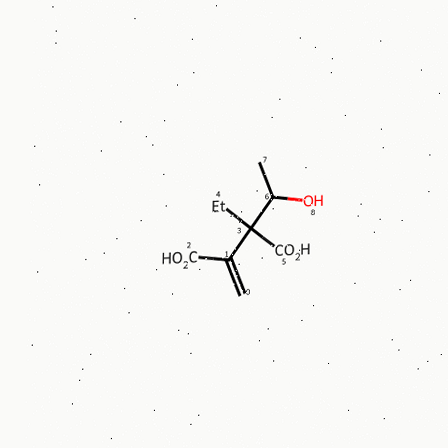 C=C(C(=O)O)C(CC)(C(=O)O)C(C)O